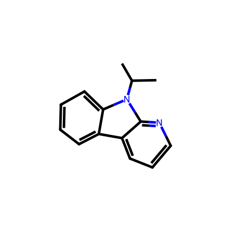 CC(C)n1c2ccccc2c2cccnc21